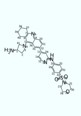 N[C@@H]1CCN(c2c3c(nc4ccc(-c5ccnc(Nc6ccc(S(=O)(=O)N7CCOCC7)cc6)c5)cc24)CCCC3)C1